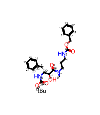 CN(CCCNC(=O)OCc1ccccc1)C(=O)[C@@H](O)[C@@H](Cc1ccccc1)NC(=O)OC(C)(C)C